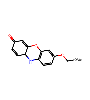 COCOc1ccc2c(c1)OC1=CC(=O)C=CC1N2